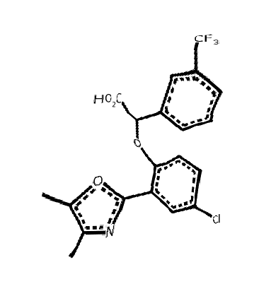 Cc1nc(-c2cc(Cl)ccc2OC(C(=O)O)c2cccc(C(F)(F)F)c2)oc1C